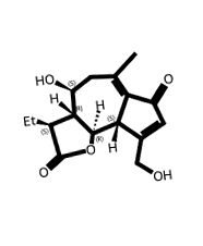 CC[C@@H]1C(=O)O[C@@H]2[C@H]3C(CO)=CC(=O)C3=C(C)C[C@H](O)[C@H]21